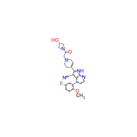 COc1ccc(F)cc1-c1ccnc2[nH]c(C3=CCN(CC(=O)N4CC(O)C4)CC3)c(C#N)c12